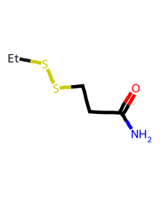 CCSSCCC(N)=O